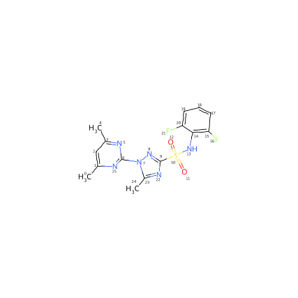 Cc1cc(C)nc(-n2nc(S(=O)(=O)Nc3c(F)cccc3F)nc2C)n1